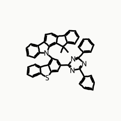 CC1(C)c2ccccc2-c2ccc3c4ccccc4n(-c4cc(-c5nc(-c6ccccc6)nc(-c6ccccc6)n5)cc5sc6ccccc6c45)c3c21